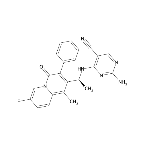 Cc1c([C@H](C)Nc2nc(N)ncc2C#N)c(-c2ccccc2)c(=O)n2cc(F)ccc12